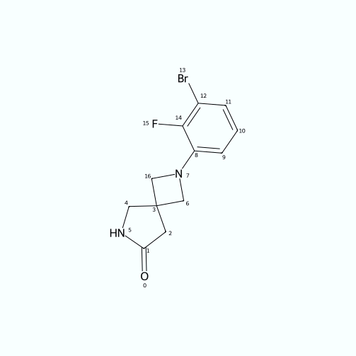 O=C1CC2(CN1)CN(c1cccc(Br)c1F)C2